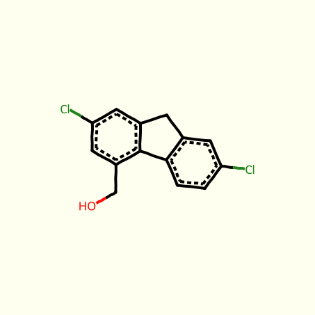 OCc1cc(Cl)cc2c1-c1ccc(Cl)cc1C2